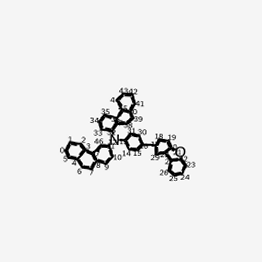 c1ccc2c(c1)ccc1ccc(N(c3ccc(-c4ccc5oc6ccccc6c5c4)cc3)c3cccc4c3ccc3ccccc34)cc12